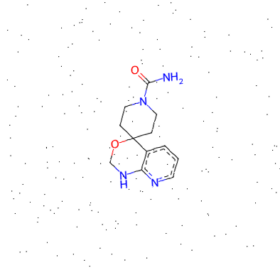 NC(=O)N1CCC2(CC1)OCNc1ncccc12